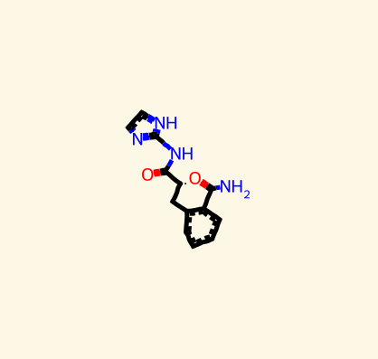 NC(=O)c1ccccc1C[CH]C(=O)Nc1ncc[nH]1